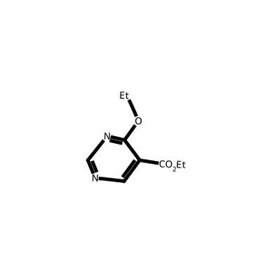 CCOC(=O)c1cncnc1OCC